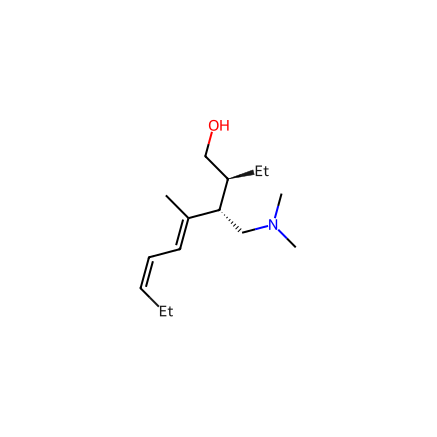 CC/C=C\C=C(/C)[C@@H](CN(C)C)[C@H](CC)CO